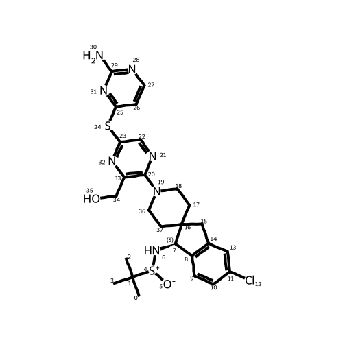 CC(C)(C)[S+]([O-])N[C@@H]1c2ccc(Cl)cc2CC12CCN(c1ncc(Sc3ccnc(N)n3)nc1CO)CC2